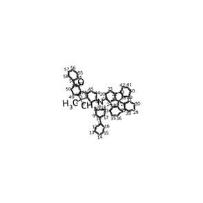 CC1(C)c2cc(N(c3ccc(-c4ccccc4)cc3)c3ccc4c(c3)C(c3ccccc3)(c3ccccc3)c3ccccc3-4)ccc2-c2c1ccc1c2oc2ccccc21